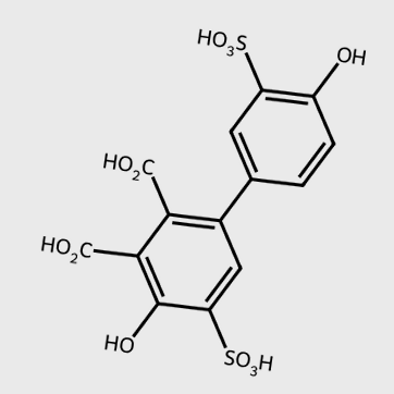 O=C(O)c1c(-c2ccc(O)c(S(=O)(=O)O)c2)cc(S(=O)(=O)O)c(O)c1C(=O)O